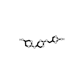 OB1OCC(COB2OCC(OB3OCC(O)CO3)CO2)O1